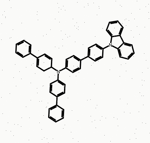 C1=CC(N(c2ccc(-c3ccccc3)cc2)c2ccc(-c3ccc(-n4c5ccccc5c5ccccc54)cc3)cc2)CC=C1c1ccccc1